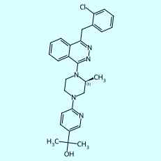 C[C@H]1CN(c2ccc(C(C)(C)O)cn2)CCN1c1nnc(Cc2ccccc2Cl)c2ccccc12